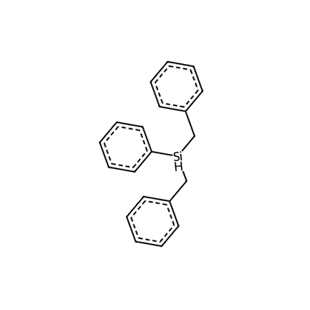 c1ccc(C[SiH](Cc2ccccc2)c2ccccc2)cc1